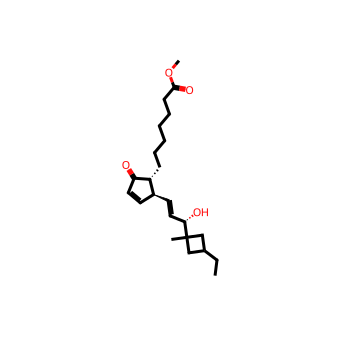 CCC1CC(C)([C@@H](O)/C=C/[C@H]2C=CC(=O)[C@@H]2CCCCCCC(=O)OC)C1